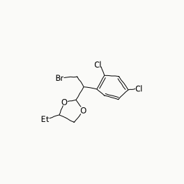 CCC1COC(C(CBr)c2ccc(Cl)cc2Cl)O1